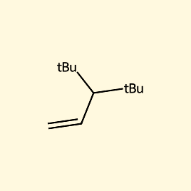 C=CC(C(C)(C)C)C(C)(C)C